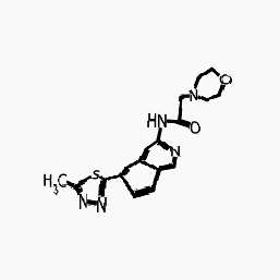 Cc1nnc(-c2ccc3cnc(NC(=O)CN4CCOCC4)cc3c2)s1